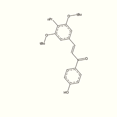 CCCc1c(OC(C)(C)C)cc(C=CC(=O)c2ccc(O)cc2)cc1OC(C)(C)C